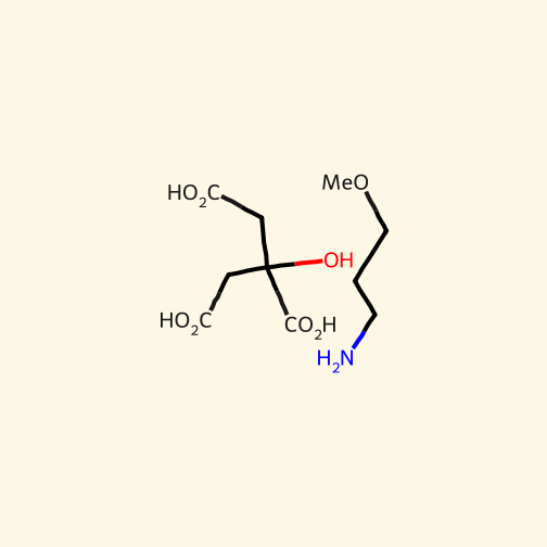 COCCCN.O=C(O)CC(O)(CC(=O)O)C(=O)O